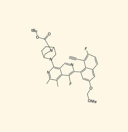 C#Cc1c(F)ccc2cc(OCOC)cc(-c3ncc4c(N5CC6CCC5CN6C(=O)OC(C)(C)C)nc(C)c(C)c4c3F)c12